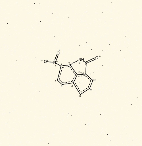 O=C1Nc2c([N+](=O)[O-])ccc3cccc1c23